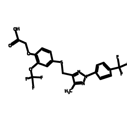 Cc1nn(-c2ccc(C(F)(F)F)cc2)nc1CSc1ccc(OCC(=O)O)c(OC(F)(F)F)c1